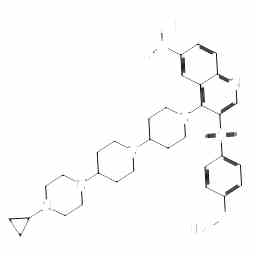 C[S+]([O-])c1ccc2ncc(S(=O)(=O)c3ccc(OC(C)(C)C)cc3)c(N3CCC(N4CCC(N5CCN(C6CC6)CC5)CC4)CC3)c2c1